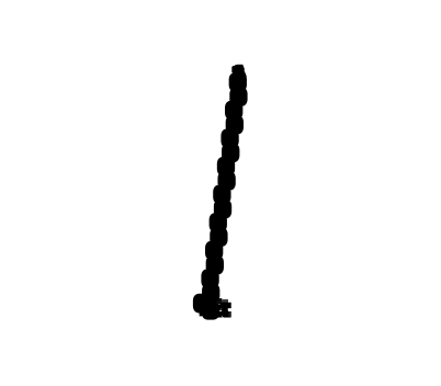 C#CCOCCOCCOCCOCCOCCOCCOCCOCCOCCOCCOCCOCCOCCOCCOCCOCCP(C)(=O)OCC